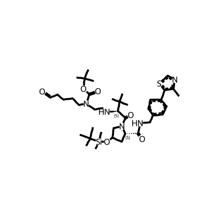 Cc1ncsc1-c1ccc(CNC(=O)[C@@H]2CC(O[Si](C)(C)C(C)(C)C)CN2C(=O)[C@@H](NCCN(CCCCC=O)C(=O)OC(C)(C)C)C(C)(C)C)cc1